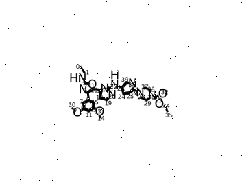 CCNc1nc(-c2cc(OC)cc(OC)c2)c(-c2ccnc(Nc3ccc(N4CCN(C(=O)OCC)CC4)nc3)n2)o1